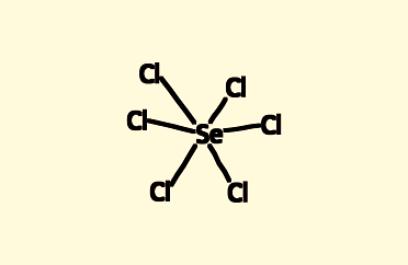 Cl[Se](Cl)(Cl)(Cl)(Cl)Cl